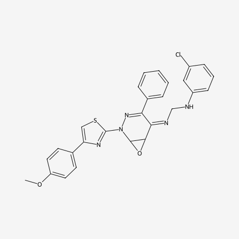 COc1ccc(-c2csc(N3N=C(c4ccccc4)/C(=N\CNc4cccc(Cl)c4)C4OC43)n2)cc1